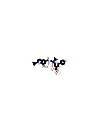 COc1cc(C(=O)NCC(O)(c2cc(C(C)(C)O)c(F)c(-c3ccc(F)cc3)n2)C2CC2)cc2ccc(C3CC3)nc12